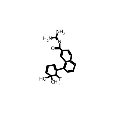 CC1(O)C=CC=C(c2cccc3ccc(C(=O)N=C(N)N)cc23)C1F